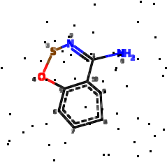 NC1=NSOc2ccccc21